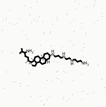 CC(C)C(N)CC[C@@H](C)[C@H]1CCC2C3CC[C@H]4C[C@@H](NCCCNCCNCCCN)CC[C@]4(C)C3CC[C@@]21C